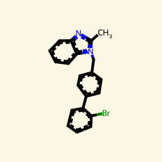 Cc1nc2ccccc2n1Cc1ccc(-c2ccccc2Br)cc1